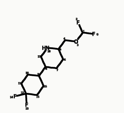 FC(F)OCC1CCC(C2CCC(F)(F)CC2)CN1